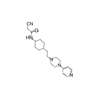 N#CCC(=O)NC1CCC(CCN2CCN(c3ccncc3)CC2)CC1